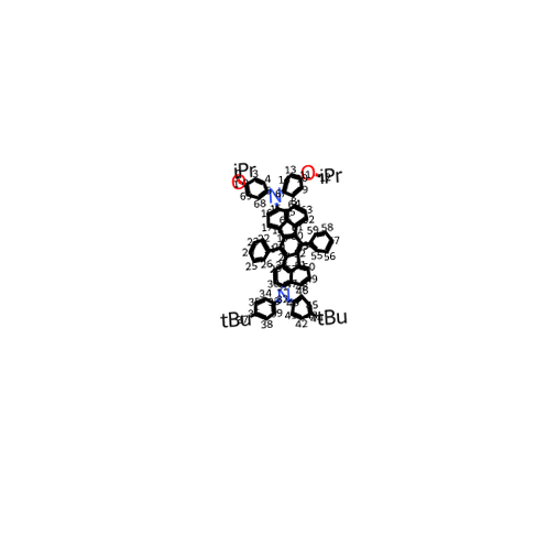 CC(C)Oc1ccc(N(c2ccc(OC(C)C)cc2)c2ccc3c4c(-c5ccccc5)c5c6ccc(N(c7ccc(C(C)(C)C)cc7)c7ccc(C(C)(C)C)cc7)c7cccc(c5c(-c5ccccc5)c4c4cccc2c43)c76)cc1